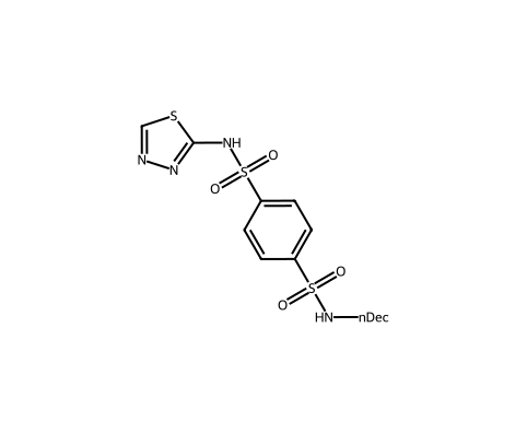 CCCCCCCCCCNS(=O)(=O)c1ccc(S(=O)(=O)Nc2nncs2)cc1